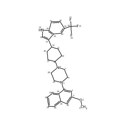 COc1cc(N2CCN(C3CCC(c4c[nH]c5ccc(C(F)(F)F)cc45)CC3)CC2)c2ncccc2c1